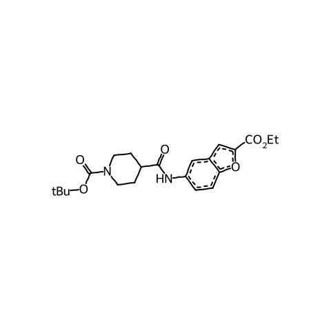 CCOC(=O)c1cc2cc(NC(=O)C3CCN(C(=O)OC(C)(C)C)CC3)ccc2o1